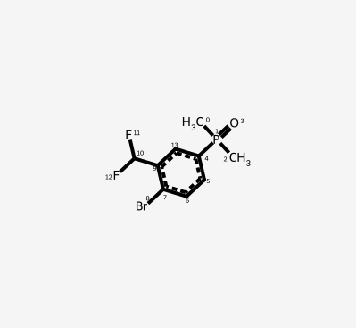 CP(C)(=O)c1ccc(Br)c(C(F)F)c1